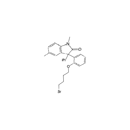 Cc1ccc2c(c1)C(c1ccccc1OCCCCBr)(C(C)C)C(=O)N2C